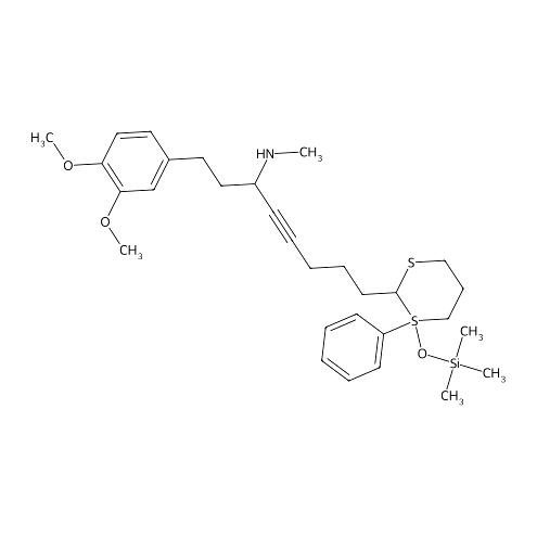 CNC(C#CCCCC1SCCCS1(O[Si](C)(C)C)c1ccccc1)CCc1ccc(OC)c(OC)c1